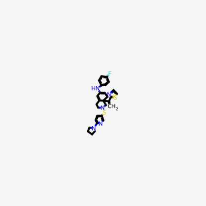 C=C(c1nccs1)C12CC=C(Nc3ccc(F)cc3)C=C1CCN(Sc1ccc(N3CCCC3)nc1)C2